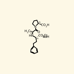 CCOC(=O)[C@H](CCc1ccccc1)N[C@@H](C)C(=O)N1CCC[C@H]1C(=O)O.[NaH]